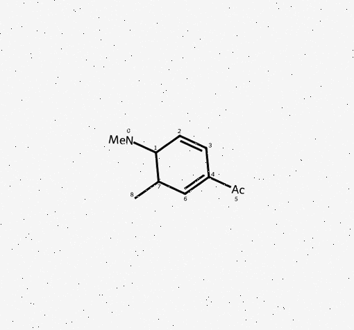 CNC1C=CC(C(C)=O)=CC1C